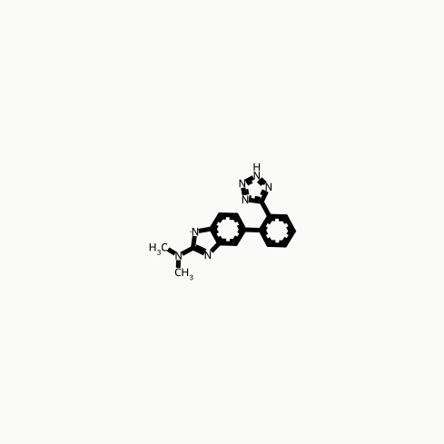 CN(C)C1=Nc2cc(-c3ccccc3-c3nn[nH]n3)ccc2[N]1